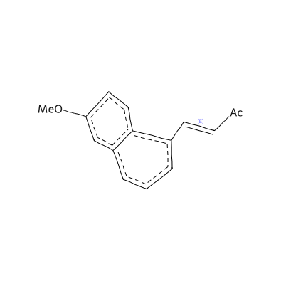 COc1ccc2c(/C=C/C(C)=O)cccc2c1